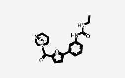 CCNC(=O)Nc1cccc(-c2ccc(C(=O)N3CCN4CCC3CC4)o2)c1